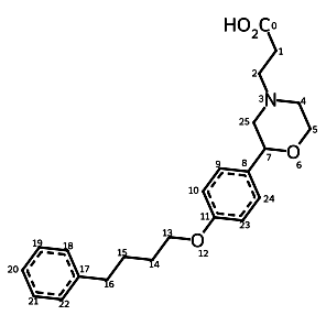 O=C(O)CCN1CCOC(c2ccc(OCCCCc3ccccc3)cc2)C1